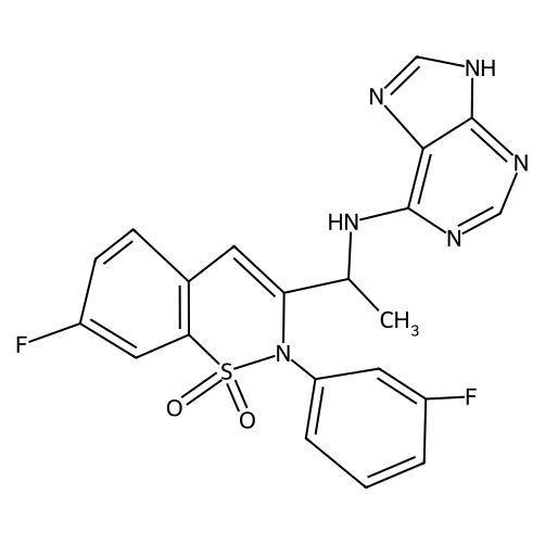 CC(Nc1ncnc2[nH]cnc12)C1=Cc2ccc(F)cc2S(=O)(=O)N1c1cccc(F)c1